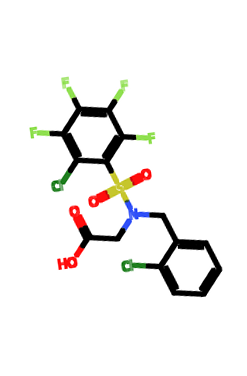 O=C(O)CN(Cc1ccccc1Cl)S(=O)(=O)c1c(F)c(F)c(F)c(F)c1Cl